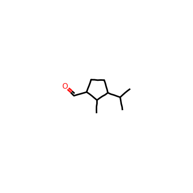 CC(C)C1CCC(C=O)C1C